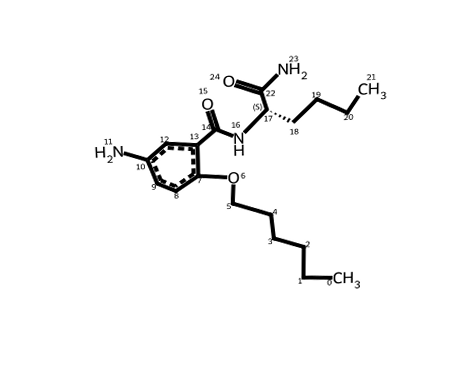 CCCCCCOc1ccc(N)cc1C(=O)N[C@@H](CCCC)C(N)=O